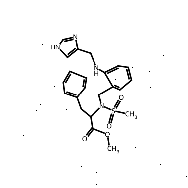 COC(=O)C(Cc1ccccc1)N(Cc1ccccc1NCc1c[nH]cn1)S(C)(=O)=O